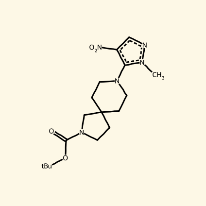 Cn1ncc([N+](=O)[O-])c1N1CCC2(CCN(C(=O)OC(C)(C)C)C2)CC1